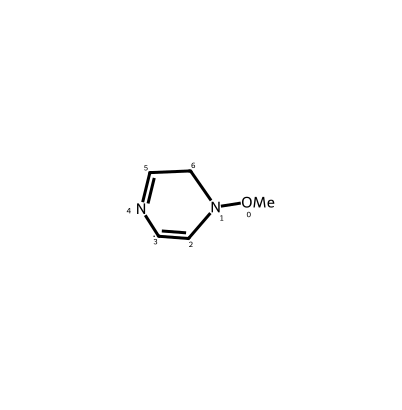 CON1C=[C]N=CC1